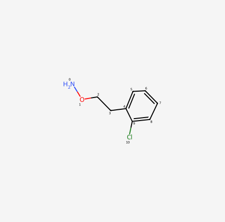 NOCCc1ccccc1Cl